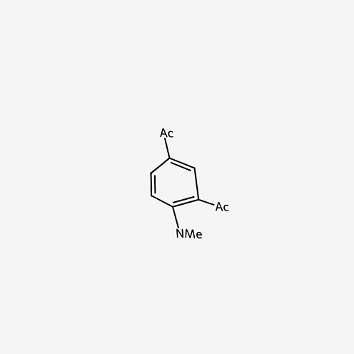 CNc1ccc(C(C)=O)cc1C(C)=O